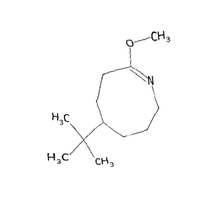 COC1=NCCCC(C(C)(C)C)CC1